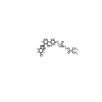 C=C(C)C(=O)OCCNC(=O)CCc1ccc(-c2cccc(-n3nc4ccc(Cl)cc4n3)c2O)cc1